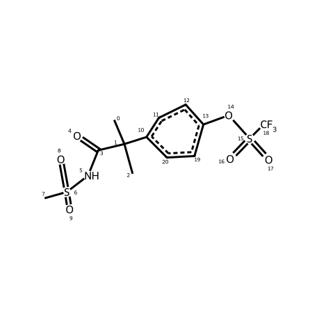 CC(C)(C(=O)NS(C)(=O)=O)c1ccc(OS(=O)(=O)C(F)(F)F)cc1